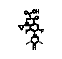 C[C@@H]1CN(c2c(F)cc3c(=O)c(C(=O)O)cn(C4CC4)c3c2F)C[C@H](C)N1